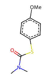 COc1ccc(SC(=O)N(C)C)cc1